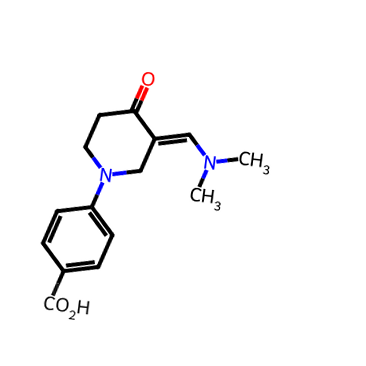 CN(C)C=C1CN(c2ccc(C(=O)O)cc2)CCC1=O